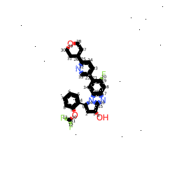 OC1C[C@@H](c2ccccc2OC(F)F)n2c1nc1cc(F)c(-c3ccc(C4CCOCC4)nc3)cc12